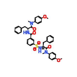 COc1ccc(N(C)C(=O)C(Cc2ccccc2)NC(=O)c2cccc(S(=O)(=O)N[C@@H](Cc3ccccc3)C(=O)N(C)c3ccc(OC)cc3)c2)cc1